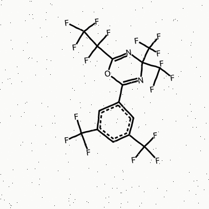 FC(F)(F)c1cc(C2=NC(C(F)(F)F)(C(F)(F)F)N=C(C(F)(F)C(F)(F)F)O2)cc(C(F)(F)F)c1